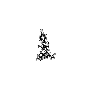 C[C@H]1CCN1c1nc(N2C[C@@H]3[C@@H](CC(=O)N4CCN(C)CC4)[C@@H]3C2)c2c(n1)C(F)(F)CC2